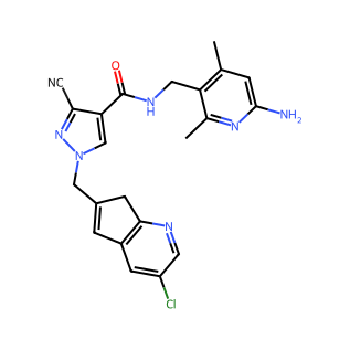 Cc1cc(N)nc(C)c1CNC(=O)c1cn(CC2=Cc3cc(Cl)cnc3C2)nc1C#N